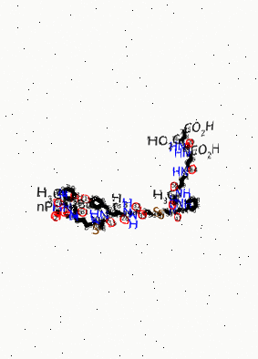 CCCC(=O)OCN(CCCc1nc(C(=O)N[C@@H](Cc2ccc(O)cc2)C[C@H](C)C(=O)NNC(=O)OCCSSCCNC(=O)[C@@H](Cc2ccccc2)NC(=O)[C@H](C)NC(=O)CCCNC(=O)CCC(NC(=O)N[C@@H](CCC(=O)O)C(=O)O)C(=O)O)cs1)C(=O)[C@@H](NC(=O)[C@H]1CCCCN1C)C(C)CC